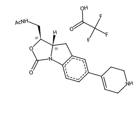 CC(=O)NC[C@@H]1OC(=O)N2c3ccc(C4=CCNCC4)cc3C[C@@H]12.O=C(O)C(F)(F)F